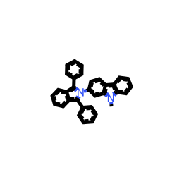 Cn1c2ccccc2c2ccc(-n3c(-c4ccccc4)c4ccccc4c3-c3ccccc3)cc21